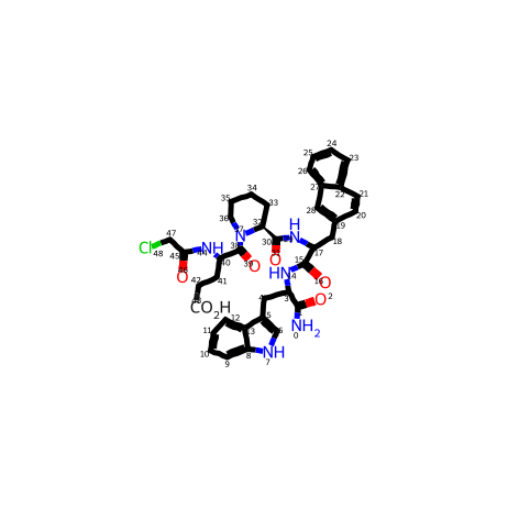 NC(=O)C(Cc1c[nH]c2ccccc12)NC(=O)C(Cc1ccc2ccccc2c1)NC(=O)[C@@H]1CCCCN1C(=O)C(CCC(=O)O)NC(=O)CCl